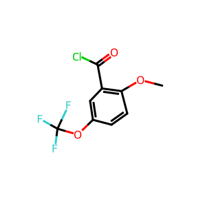 COc1ccc(OC(F)(F)F)cc1C(=O)Cl